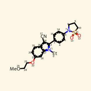 CCn1c(-c2ccc(N3CCCS3(=O)=O)cc2)c(C#N)c2ccc(OCCOC)cc21